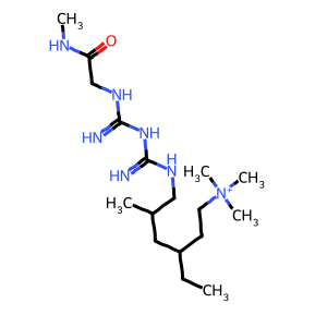 CCC(CC[N+](C)(C)C)CC(C)CNC(=N)NC(=N)NCC(=O)NC